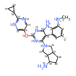 CNc1cc(F)cc2c1[nH]c1nc(Oc3cnc(C4CC4)nc3)nc(N3CC4CCC(N)C4C3)c12